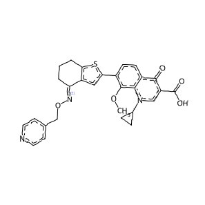 COc1c(-c2cc3c(s2)CCC/C3=N\OCc2ccncc2)ccc2c(=O)c(C(=O)O)cn(C3CC3)c12